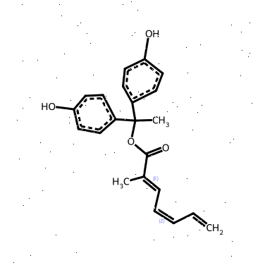 C=C/C=C\C=C(/C)C(=O)OC(C)(c1ccc(O)cc1)c1ccc(O)cc1